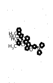 Cc1cc(C)c(B(c2ccc3c(c2)C(C)(C)c2ccccc2-3)c2cc3c4cccc5c4c(cc3c3ccccc23)-c2ccc(N(c3ccccc3)c3ccccc3)cc2O5)c(C)c1